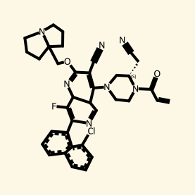 C=CC(=O)N1CCN(C2=C(C#N)C(OCC34CCCN3CCC4)=NC3C(F)=C(c4cccc5cccc(Cl)c45)N=CC23)C[C@@H]1CC#N